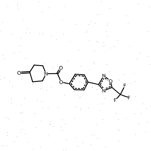 O=C1CCN(C(=O)Oc2ccc(-c3noc(C(F)(F)F)n3)cc2)CC1